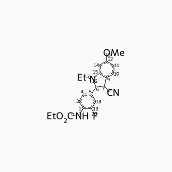 CCOC(=O)Nc1ccc(C2C(C#N)c3ccc(OC)cc3N2CC)cc1F